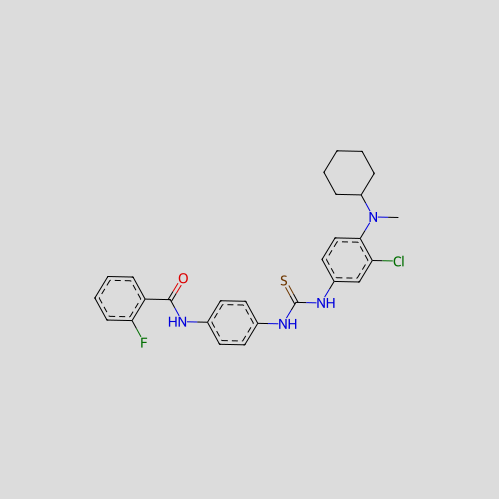 CN(c1ccc(NC(=S)Nc2ccc(NC(=O)c3ccccc3F)cc2)cc1Cl)C1CCCCC1